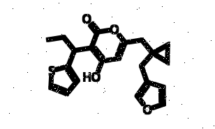 CCC(c1cccs1)c1c(O)cc(CC2(Cc3ccoc3)CC2)oc1=O